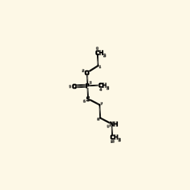 CCOP(C)(=O)SCCNC